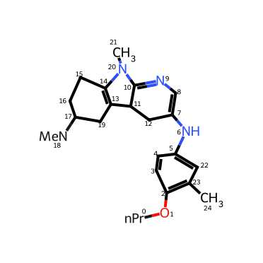 CCCOc1ccc(NC2=CN=C3C(C2)C2=C(CCC(NC)C2)N3C)cc1C